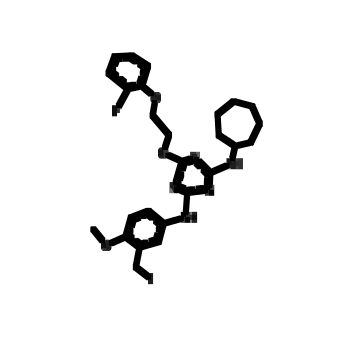 COc1ccc(Nc2nc(NC3CCCCCC3)nc(OCCOc3ccccc3F)n2)cc1CI